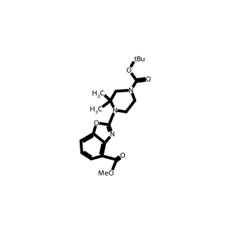 COC(=O)c1cccc2oc(N3CCN(C(=O)OC(C)(C)C)CC3(C)C)nc12